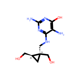 Nc1nc(O)c(N)c(NC[C@]2(CO)C[C@H]2CO)n1